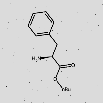 CCCCOC(=O)[C@@H](N)Cc1ccccc1